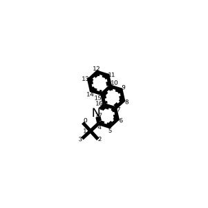 CC(C)(C)c1ccc2ccc3ccccc3c2n1